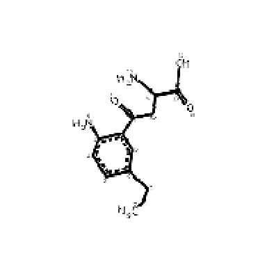 CCc1ccc(N)c(C(=O)CC(N)C(=O)O)c1